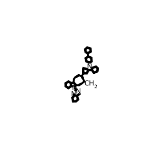 C=C1/C=C\c2c(c3ccccc3n2-c2ncc3ccccc3n2)C/C=C\C(c2ccc3c(c2)c2ccccc2n3-c2ccc(-c3ccccc3)cc2)=C/1